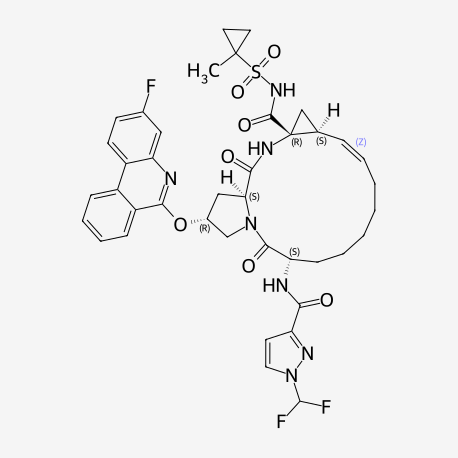 CC1(S(=O)(=O)NC(=O)[C@@]23C[C@H]2/C=C\CCCCC[C@H](NC(=O)c2ccn(C(F)F)n2)C(=O)N2C[C@H](Oc4nc5cc(F)ccc5c5ccccc45)C[C@H]2C(=O)N3)CC1